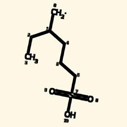 [CH2]C(CC)CCCS(=O)(=O)O